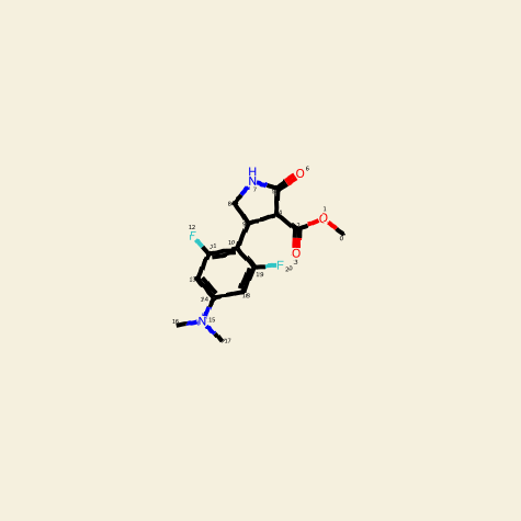 COC(=O)C1C(=O)NCC1c1c(F)cc(N(C)C)cc1F